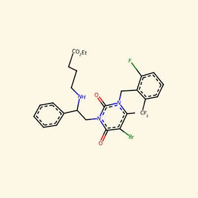 CCOC(=O)CCCNC(Cn1c(=O)c(Br)c(C)n(Cc2c(F)cccc2C(F)(F)F)c1=O)c1ccccc1